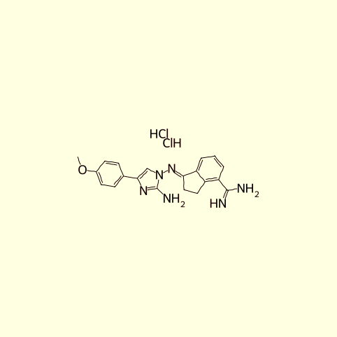 COc1ccc(-c2cn(/N=C3\CCc4c(C(=N)N)cccc43)c(N)n2)cc1.Cl.Cl